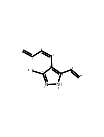 C=C/C=C\c1c(I)n[nH]c1C=C